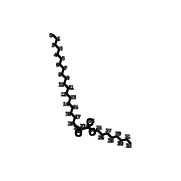 CCCCCCCCCCCCCCCCCCCC1OC1C(=O)OCCCCCCCC